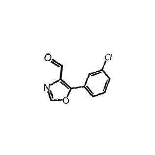 O=Cc1ncoc1-c1cccc(Cl)c1